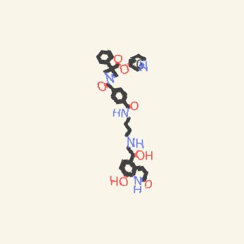 O=C(NCCCCNCC(O)c1ccc(O)c2[nH]c(=O)ccc12)c1ccc(C(=O)N2CC(C(=O)OC3CN4CCC3CC4)(c3ccccc3)C2)cc1